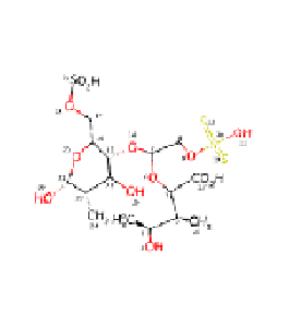 C[C@H](O)[C@H](C)C(OC(COS(O)(=S)=S)O[C@H]1C(COS(=O)(=O)O)O[C@@H](O)[C@@H](C)C1O)C(=O)O